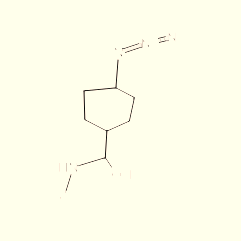 CNC(O)C1CCC(N=[N+]=[N-])CC1